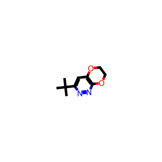 CC(C)(C)c1cc2c(nn1)OCCO2